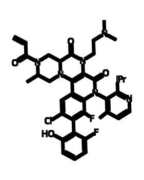 C=CC(=O)N1CC2C(=O)N(CCN(C)C)c3c(c4cc(Cl)c(-c5c(O)cccc5F)c(F)c4n(-c4c(C)ccnc4C(C)C)c3=O)N2CC1C